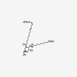 CCCCC/C=C\CC=CCCCCCCCC(=O)N(CCCN(C)C)C(ONCCCCCCCCCCCCCCCCCC)C(CC)CCCC